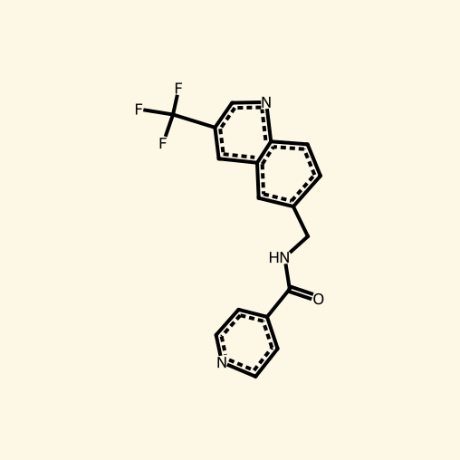 O=C(NCc1ccc2ncc(C(F)(F)F)cc2c1)c1ccncc1